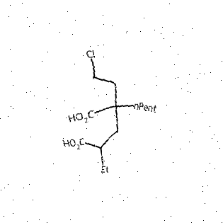 CCCCCC(CCCl)(CC(CC)C(=O)O)C(=O)O